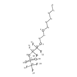 CCCCCCOCCOC(F)(F)C(F)(F)OS(=O)(=O)C(F)(F)F